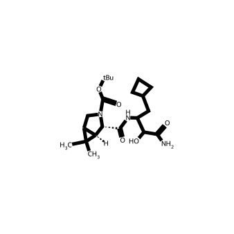 CC(C)(C)OC(=O)N1CC2[C@@H]([C@H]1C(=O)NC(CC1CCC1)C(O)C(N)=O)C2(C)C